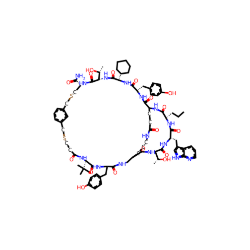 CCC[C@@H]1NC(=O)[C@H](Cc2c[nH]c3ncccc23)NC(=O)[C@@H]([C@@H](C)O)NC(=O)C2CCCNC(=O)CCC(NC1=O)C(=O)N[C@@H](Cc1ccc(O)cc1)C(=O)N[C@@H](C1CCCCC1)C(=O)N[C@@H]([C@@H](C)O)C(=O)N[C@@H](C(N)=O)CSCc1cccc(c1)CSCCC(=O)N[C@@H](C(C)(C)C)C(=O)NC(Cc1ccc(O)cc1)C(=O)NC2